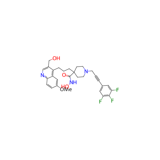 COc1ccc2ncc(CO)c(CCCC3(C(=O)NO)CCN(CC#Cc4cc(F)c(F)c(F)c4)CC3)c2c1